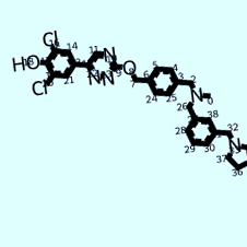 CN(Cc1ccc(COc2ncc(-c3cc(Cl)c(O)c(Cl)c3)nn2)cc1)Cc1cccc(CN2CCCC2)c1